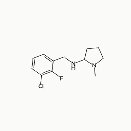 CN1CCCC1NCc1cccc(Cl)c1F